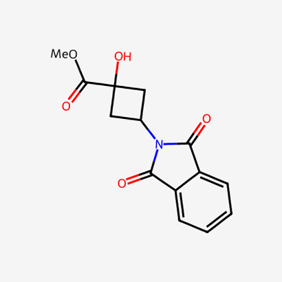 COC(=O)C1(O)CC(N2C(=O)c3ccccc3C2=O)C1